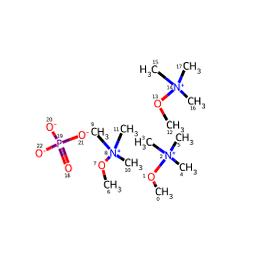 CO[N+](C)(C)C.CO[N+](C)(C)C.CO[N+](C)(C)C.O=P([O-])([O-])[O-]